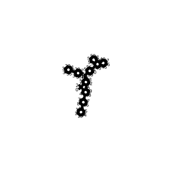 CC1(C)c2cc(-c3ccc(-c4ccccc4)cc3)ccc2-c2ccc(N(c3ccc(-c4ccccc4)cc3)c3ccc(-c4cc5ccccc5c5ccccc45)cc3)cc21